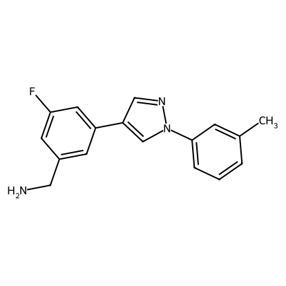 Cc1cccc(-n2cc(-c3cc(F)cc(CN)c3)cn2)c1